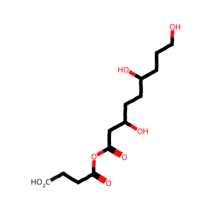 O=C(O)CCC(=O)OC(=O)CC(O)CCC(O)CCCO